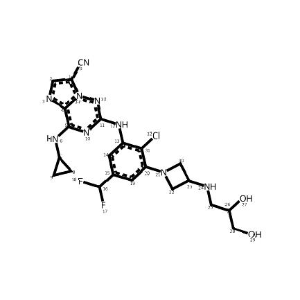 N#Cc1cnc2c(NC3CC3)nc(Nc3cc(C(F)F)cc(N4CC(NCC(O)CO)C4)c3Cl)nn12